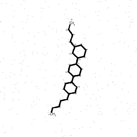 CCCCCC1CCC(C2CCC(C3CCCC(CCCC)C3)CC2)CC1